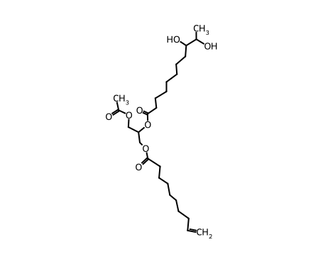 C=CCCCCCCCC(=O)OCC(COC(C)=O)OC(=O)CCCCCCCC(O)C(C)O